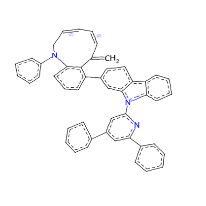 C=C1/C=C\C=C/CN(c2ccccc2)c2cccc(-c3ccc4c5ccccc5n(-c5cc(-c6ccccc6)cc(-c6ccccc6)n5)c4c3)c21